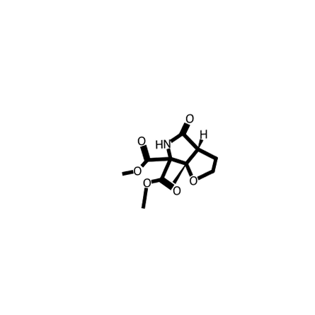 COC(=O)C1(C(=O)OC)NC(=O)[C@@H]2CCO[C@@]21C